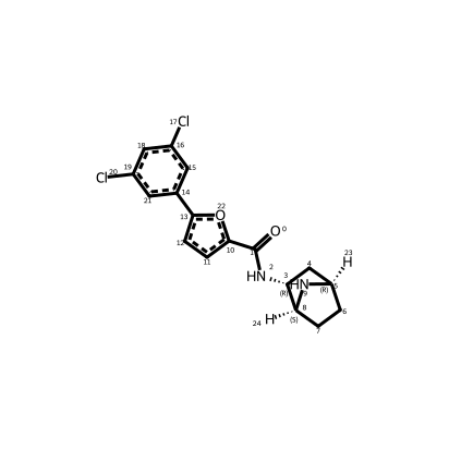 O=C(N[C@@H]1C[C@H]2CC[C@@H]1N2)c1ccc(-c2cc(Cl)cc(Cl)c2)o1